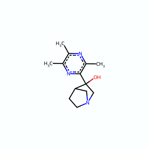 Cc1nc(C)c(C2(O)CN3CCC2C3)nc1C